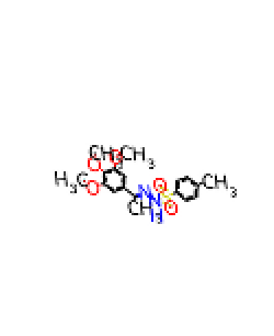 COc1cc(C(C)=NNS(=O)(=O)c2ccc(C)cc2)cc(OC)c1OC